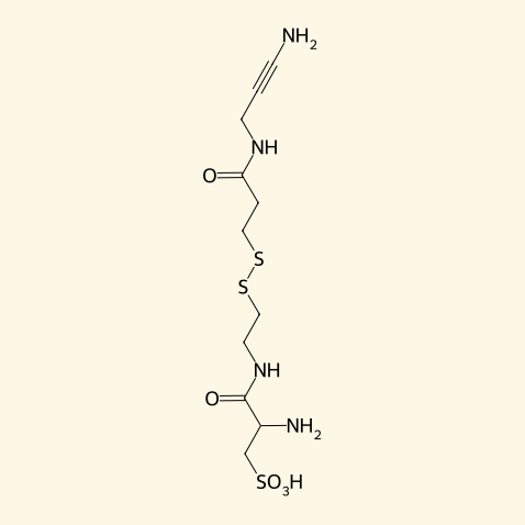 NC#CCNC(=O)CCSSCCNC(=O)C(N)CS(=O)(=O)O